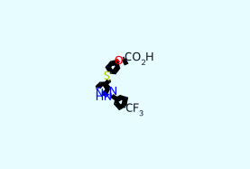 CC(Oc1ccc(SCc2ccnc3[nH]c(-c4ccc(C(F)(F)F)cc4)nc23)cc1)C(=O)O